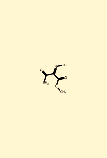 BC(=O)/C(=N/O)C(=O)OC